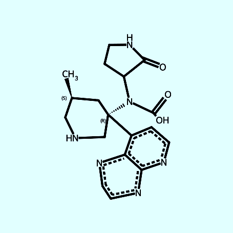 C[C@@H]1CNC[C@@](c2ccnc3nccnc23)(N(C(=O)O)C2CCNC2=O)C1